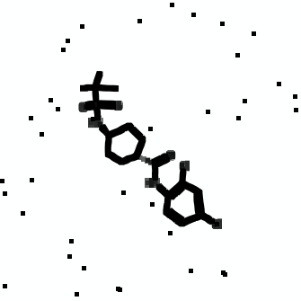 CC(C)(C)S(=O)(=O)N[C@H]1CC[C@H](C(=O)Nc2ccc(Cl)cc2Cl)CC1